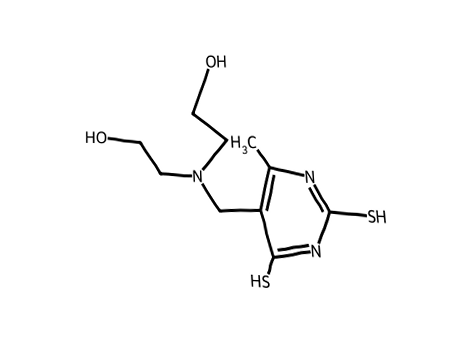 Cc1nc(S)nc(S)c1CN(CCO)CCO